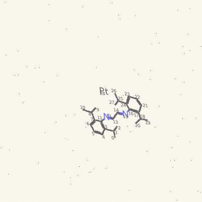 CC(C)c1cccc(C(C)C)c1N=CC=Nc1c(C(C)C)cccc1C(C)C.[Pt]